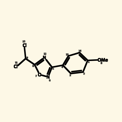 COc1ccc(-c2noc(C(Cl)Cl)n2)cc1